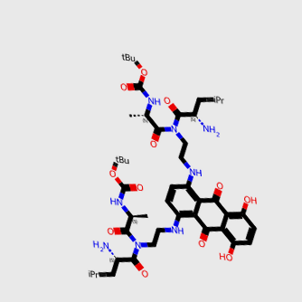 CC(C)C[C@H](N)C(=O)N(CCNc1ccc(NCCN(C(=O)[C@H](C)NC(=O)OC(C)(C)C)C(=O)[C@@H](N)CC(C)C)c2c1C(=O)c1c(O)ccc(O)c1C2=O)C(=O)[C@H](C)NC(=O)OC(C)(C)C